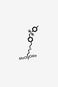 CO[Si](C)(CCCSCCc1ccc(CS(=O)(=O)c2ccc(C)cc2)cc1)OC